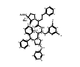 CC[C@@H](C)C1(NC(C)=O)CCN(C(CCc2ccccc2)C(=O)N[C@@H](Cc2cc(F)cc(F)c2)[C@H](O)[C@H]2C[C@@H](Oc3cccnc3)CN2C(c2ccccc2)c2ccccc2)C1=O